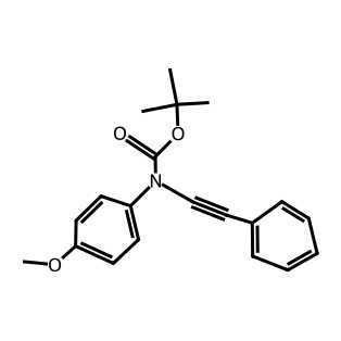 COc1ccc(N(C#Cc2ccccc2)C(=O)OC(C)(C)C)cc1